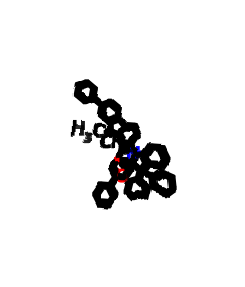 CC1(C)c2cc(-c3ccccc3)ccc2-c2ccc(N(c3ccc(-c4ccccc4)cc3)c3ccccc3C3(c4ccccc4)c4ccccc4Oc4ccccc43)cc21